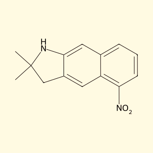 CC1(C)Cc2cc3c([N+](=O)[O-])cccc3cc2N1